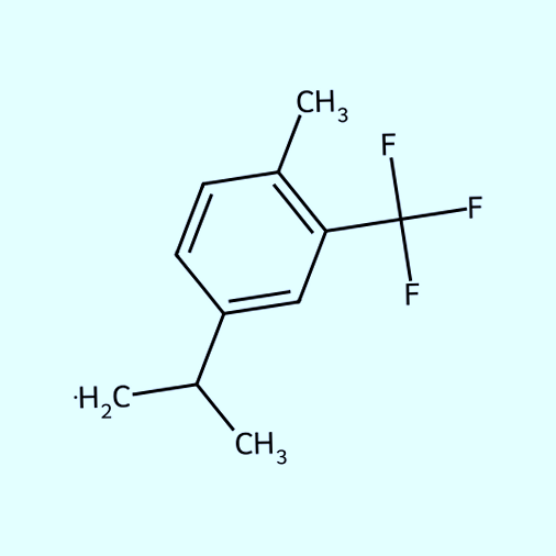 [CH2]C(C)c1ccc(C)c(C(F)(F)F)c1